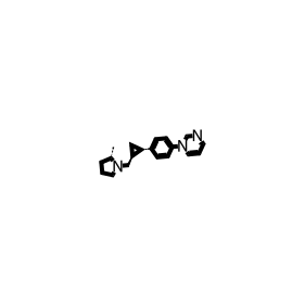 C[C@H]1CCCN1C[C@H]1C[C@@H]1c1ccc(N2C=CC=NC2)cc1